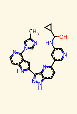 Cc1cn(-c2nccc3[nH]c(-c4n[nH]c5ccc(-c6cncc(NC(O)C7CC7)c6)nc45)cc23)cn1